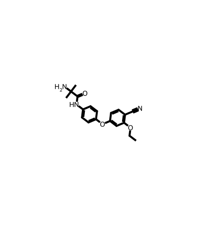 CCOc1cc(Oc2ccc(NC(=O)C(C)(C)N)cc2)ccc1C#N